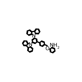 Nc1ccccc1OCc1ccc(-c2cc(-n3c4ccccc4c4ccccc43)cc(-n3c4ccccc4c4ccccc43)c2)cc1